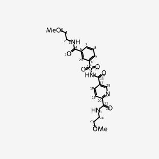 COCCNC(=O)c1cccc(S(=O)(=O)NC(=O)c2ccc(C(=O)NCCOC)nc2)c1